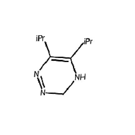 CC(C)C1=C(C(C)C)NCN=N1